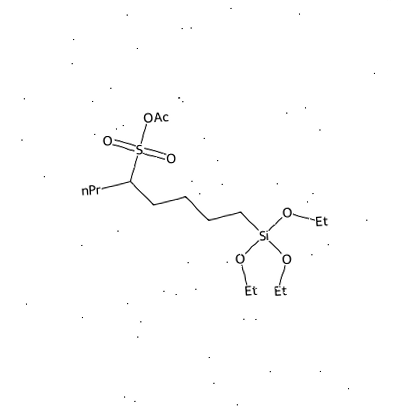 CCCC(CCCC[Si](OCC)(OCC)OCC)S(=O)(=O)OC(C)=O